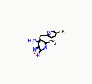 Cc1nc2nonc2c(N)c1Cc1ccc(C(F)(F)F)cn1